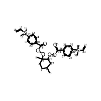 [CH2]C1CCC([CH2])(OOC(=O)c2ccc([Si](C)(C)C=C)cc2)C(OOC(=O)c2ccc([Si](C)(C)C=C)cc2)C1